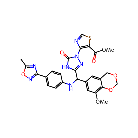 COC(=O)c1scnc1-n1nc(C(Nc2ccc(-c3noc(C)n3)cc2)c2cc3c(c(OC)c2)OCOC3)[nH]c1=O